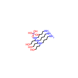 NCCCCNCCCO.NCCCCNCCCO.NCCCCNCCCO.O=P(O)(O)O